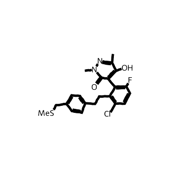 CSCc1ccc(CCc2c(Cl)ccc(F)c2-c2c(O)c(C)nn(C)c2=O)cc1